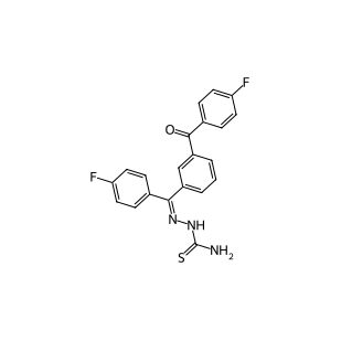 NC(=S)N/N=C(/c1ccc(F)cc1)c1cccc(C(=O)c2ccc(F)cc2)c1